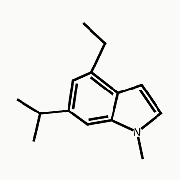 CCc1cc(C(C)C)cc2c1ccn2C